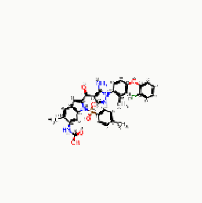 Cc1ccc(S(=O)(=O)n2c(C(=O)c3cnn(-c4ccc(Oc5ccccc5F)cc4C)c3N)cc3cc(C)c(NC(=O)O)cc32)cc1